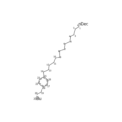 CCCCCCCCCCCCCCCCCCCCCCCCc1ccc(C[CH]C(C)CC)cc1